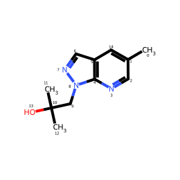 Cc1cnc2c(cnn2CC(C)(C)O)c1